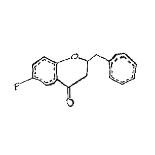 O=C1CC(Cc2ccccc2)Oc2ccc(F)cc21